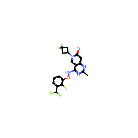 Cc1nc(NOc2cccc(C(F)F)c2F)c2cn(C3CC(F)(F)C3)c(=O)cc2n1